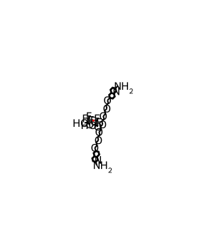 Nc1ccc2cc(OCCOCCOCCOCCOCCOCCOc3ccc4nc(N)ccc4c3)ccc2n1.O=C(O)C(F)(F)F.O=C(O)C(F)(F)F